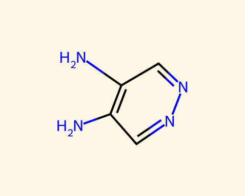 Nc1cnncc1N